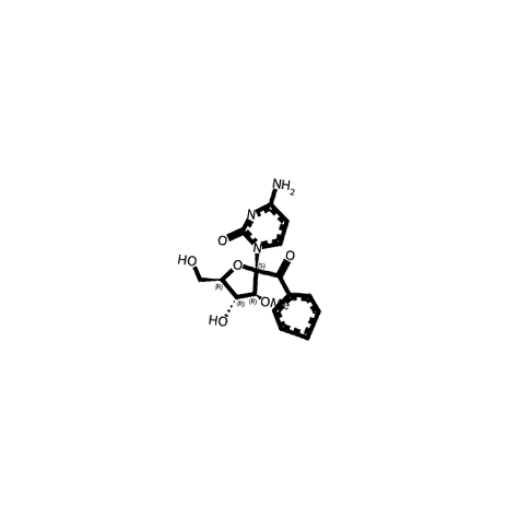 CO[C@@H]1[C@H](O)[C@@H](CO)O[C@@]1(C(=O)c1ccccc1)n1ccc(N)nc1=O